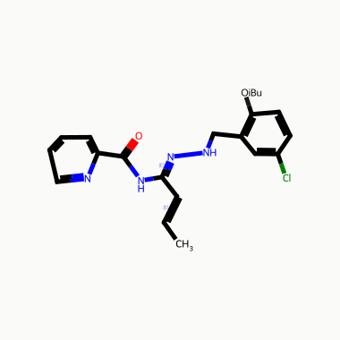 C/C=C/C(=N\NCc1cc(Cl)ccc1OCC(C)C)NC(=O)c1ccccn1